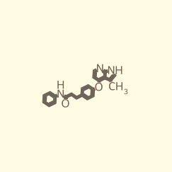 Cc1c[nH]c2nccc(Oc3ccc(CCC(=O)Nc4ccccc4)cc3)c12